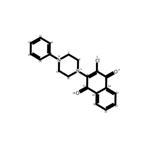 O=C1C(Cl)=C(N2CCN(c3ccccc3)CC2)C(=O)c2ccccc21